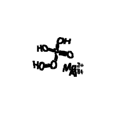 O=P(O)(O)OO.[Al+3].[Mg+2]